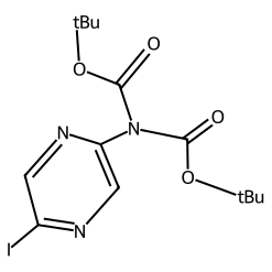 CC(C)(C)OC(=O)N(C(=O)OC(C)(C)C)c1cnc(I)cn1